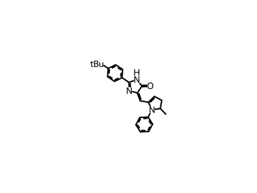 CC1CC=C(/C=C2/N=C(c3ccc(C(C)(C)C)cc3)NC2=O)N1c1ccccc1